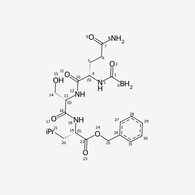 BC(=O)N[C@@H](CCC(N)=O)C(=O)N[C@@H](CO)C(=O)N[C@@H](CC(C)C)C(=O)OCc1ccccc1